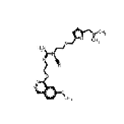 COc1ccc2cnnc(OCCN=C(N)N(C#N)CCSCc3ccc(CN(C)C)o3)c2c1